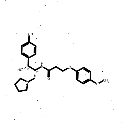 COc1ccc(OCCC(=O)N[C@H](CN2CCCC2)[C@H](O)c2ccc(O)cc2)cc1